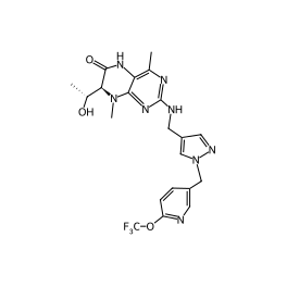 Cc1nc(NCc2cnn(Cc3ccc(OC(F)(F)F)nc3)c2)nc2c1NC(=O)[C@H]([C@@H](C)O)N2C